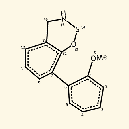 COc1ccccc1-c1cccc2c1OSNC2